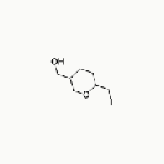 OCC1CCC(CI)OC1